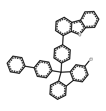 Clc1ccc2c(c1)C(c1ccc(-c3ccccc3)cc1)(c1ccc(-c3cccc4c3oc3ccccc34)cc1)c1ccccc1-2